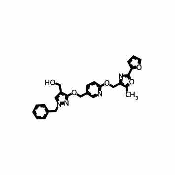 Cc1oc(-c2ccco2)nc1COc1ccc(COc2nn(Cc3ccccc3)cc2CO)cn1